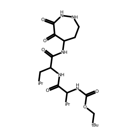 CC(C)CC(NC(=O)C(NC(=O)OCC(C)(C)C)C(C)C)C(=O)NC1CCNNC(=O)C1=O